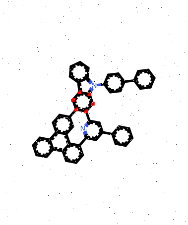 c1ccc(-c2ccc(-n3c4ccccc4c4cc(-c5ccc6c7ccccc7c7cccc(-c8cc(-c9ccccc9)cc(-c9ccccc9)n8)c7c6c5)ccc43)cc2)cc1